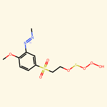 C/N=N/c1cc(S(=O)(=O)CCOSOOO)ccc1OC